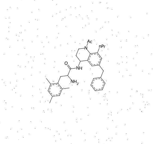 CCCc1cc(Cc2ccccc2)cc2c1N(C(C)=O)CCC2NC(=O)C(N)Cc1c(C)cc(C)cc1C